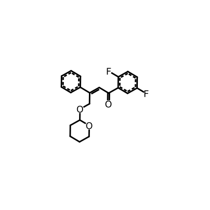 O=C(/C=C(\COC1CCCCO1)c1ccccc1)c1cc(F)ccc1F